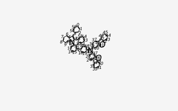 c1ccc(-c2c3ccccc3n3c4cccc(-c5ccc(N(c6ccc7c(c6)oc6ccccc67)c6ccc7c(c6)oc6ccccc67)cc5)c4c4ccccc4c23)cc1